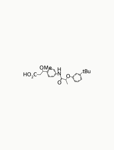 COC(CC(=O)O)c1ccc(NC(=O)C(C)Oc2cccc(C(C)(C)C)c2)cc1